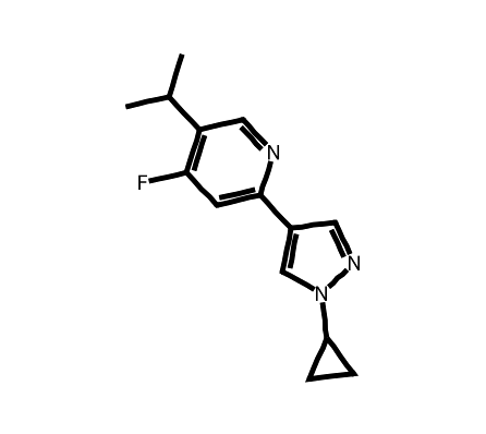 CC(C)c1cnc(-c2cnn(C3CC3)c2)cc1F